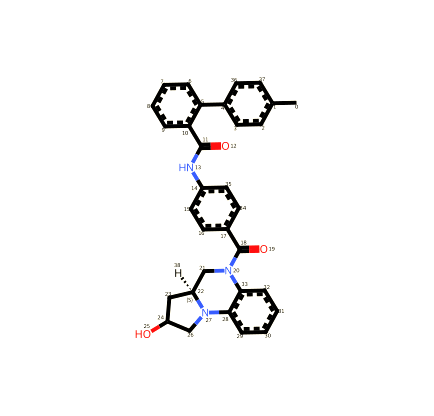 Cc1ccc(-c2ccccc2C(=O)Nc2ccc(C(=O)N3C[C@@H]4CC(O)CN4c4ccccc43)cc2)cc1